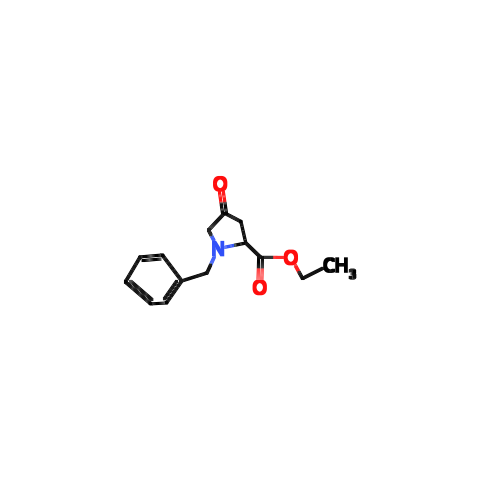 CCOC(=O)C1CC(=O)CN1Cc1ccccc1